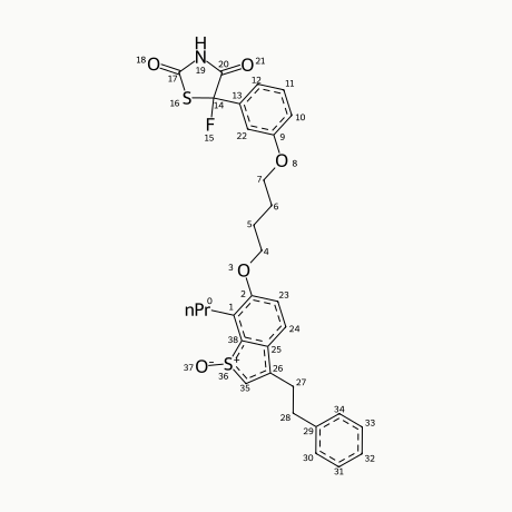 CCCc1c(OCCCCOc2cccc(C3(F)SC(=O)NC3=O)c2)ccc2c(CCc3ccccc3)c[s+]([O-])c12